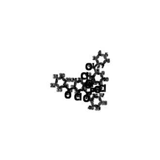 O=C(c1ccccc1)c1ccc(Cl)c(C(=O)P(=O)(C(=O)c2c(Cl)ccc(C(=O)c3ccccc3)c2Cl)c2ccccc2)c1Cl